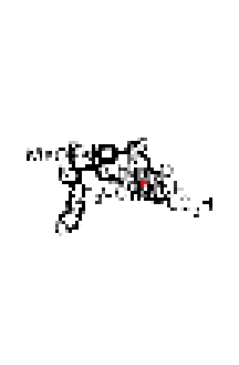 CCn1c(-c2cc(N3CCN4CCOCC4C3)cnc2[C@H](C)OC)c(CC(C)(C)COC(C)=O)c2cc(-c3csc(CC(NC(=O)OC(C)(C)C)C(=O)N4CCCC(C(=O)O)N4)n3)ccc21